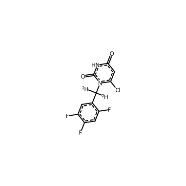 [2H]C([2H])(c1cc(F)c(F)cc1F)n1c(Cl)cc(=O)[nH]c1=O